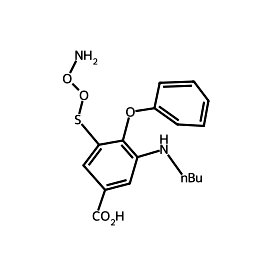 CCCCNc1cc(C(=O)O)cc(SOON)c1Oc1ccccc1